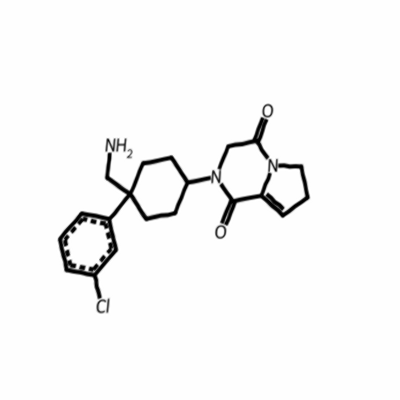 NCC1(c2cccc(Cl)c2)CCC(N2CC(=O)N3CCC=C3C2=O)CC1